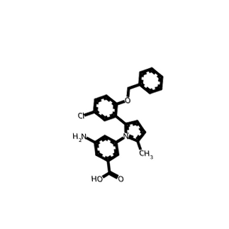 Cc1ccc(-c2cc(Cl)ccc2OCc2ccccc2)n1-c1cc(N)cc(C(=O)O)c1